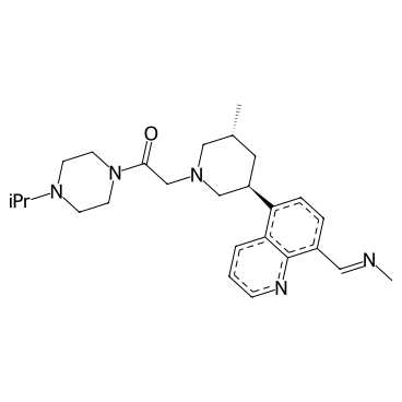 C/N=C/c1ccc([C@@H]2C[C@@H](C)CN(CC(=O)N3CCN(C(C)C)CC3)C2)c2cccnc12